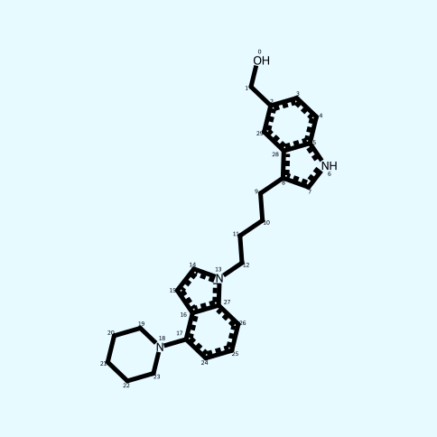 OCc1ccc2[nH]cc(CCCCn3ccc4c(N5CCCCC5)cccc43)c2c1